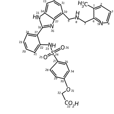 Cc1cccnc1CNCc1cccc2[nH]c(-c3ccccc3NS(=O)(=O)c3ccc(OCC(=O)O)cc3)nc12